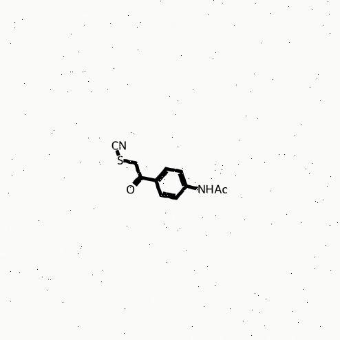 CC(=O)Nc1ccc(C(=O)CSC#N)cc1